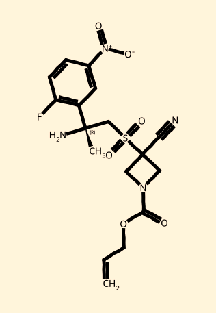 C=CCOC(=O)N1CC(C#N)(S(=O)(=O)C[C@](C)(N)c2cc([N+](=O)[O-])ccc2F)C1